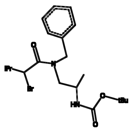 CC(CN(Cc1ccccc1)C(=O)C(Br)C(C)C)NC(=O)OC(C)(C)C